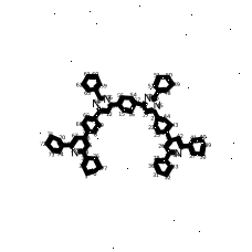 c1ccc(-c2cc(-c3ccc(-c4cc(-c5ccc(-c6cc(-c7ccc(-c8cc(-c9ccccc9)nc(-c9ccccc9)c8)cc7)nc(-c7ccccc7)n6)cc5)nc(-c5ccccc5)n4)cc3)cc(-c3ccccc3)n2)cc1